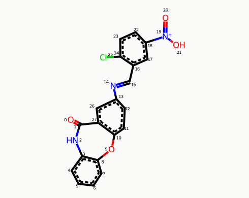 O=C1Nc2ccccc2Oc2ccc(/N=C/c3cc([N+](=O)O)ccc3Cl)cc21